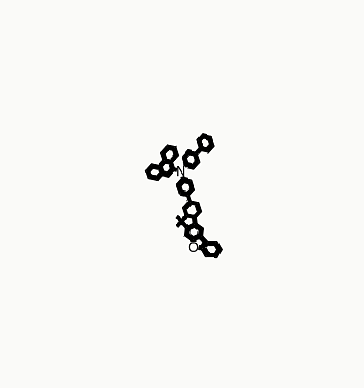 CC1(C)c2cc3oc4ccccc4c3cc2C2C=CC(c3ccc(N(c4ccc(-c5ccccc5)cc4)c4cc5ccccc5c5ccccc45)cc3)=CC21